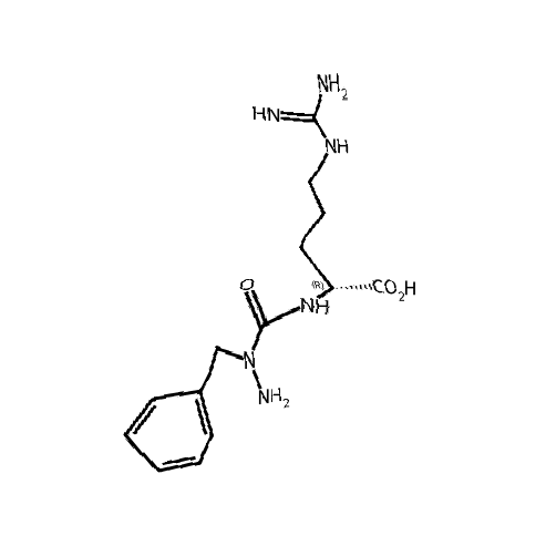 N=C(N)NCCC[C@@H](NC(=O)N(N)Cc1ccccc1)C(=O)O